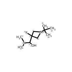 CN(C)C(O)C1(F)CN(C(C)(C)C)C1